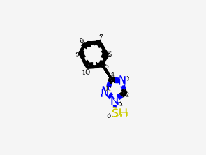 Sn1cnc(-c2ccccc2)n1